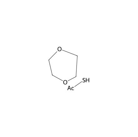 C1COCCO1.CC(=O)S